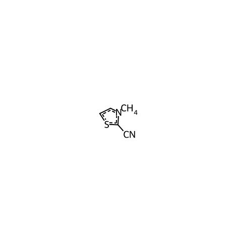 C.N#Cc1nccs1